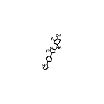 Oc1ccc(Nc2cc(-c3ccc(-n4cccn4)cc3)[nH]n2)cc1F